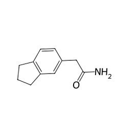 NC(=O)Cc1ccc2c(c1)CCC2